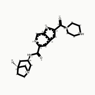 O=C(N[C@@H]1C[C@@H]2CCN(C2)C1)c1cc2cc(C(=O)N3CCNCC3)oc2cn1